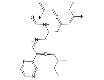 C=C(F)C=C=C(/C=C(/F)CC)CC(C/N=C\C(=C=CC(C)CC)c1cnccp1)NC=O